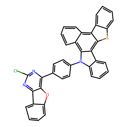 Clc1nc(-c2ccc(-n3c4ccccc4c4c5sc6ccccc6c5c5ccccc5c43)cc2)c2oc3ccccc3c2n1